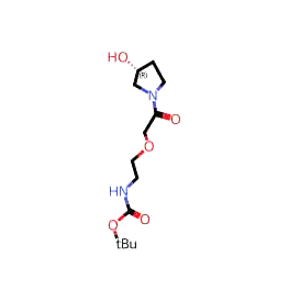 CC(C)(C)OC(=O)NCCOCC(=O)N1CC[C@@H](O)C1